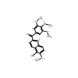 COc1cc(C(=O)c2ccc3c(Cl)c(OC)ccc3n2)cc(OC)c1OC